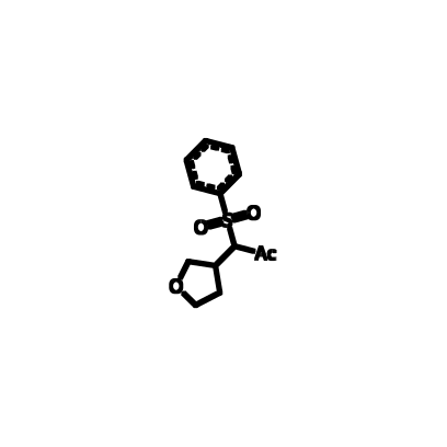 CC(=O)C(C1CCOC1)S(=O)(=O)c1ccccc1